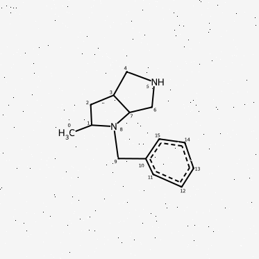 CC1CC2CNCC2N1Cc1ccccc1